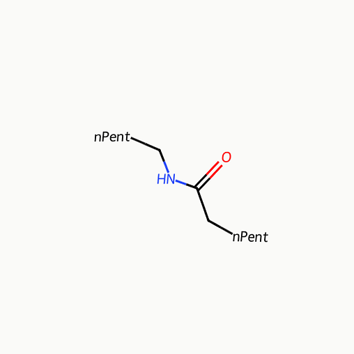 [CH2]CCCCCC(=O)NCCCCCC